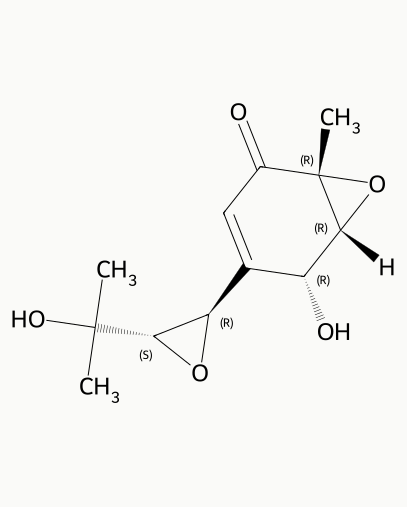 CC(C)(O)[C@H]1O[C@@H]1C1=CC(=O)[C@]2(C)O[C@@H]2[C@@H]1O